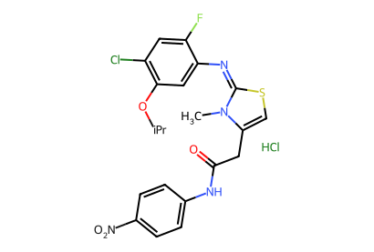 CC(C)Oc1cc(N=c2scc(CC(=O)Nc3ccc([N+](=O)[O-])cc3)n2C)c(F)cc1Cl.Cl